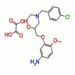 COc1ccc(N)cc1OCC1CN(Cc2ccc(Cl)cc2)CCO1.O=C(O)C(=O)O